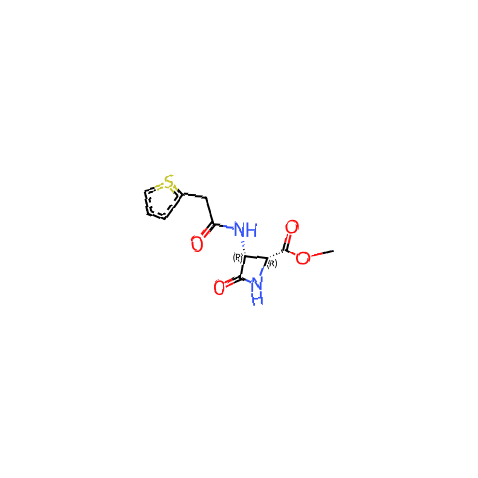 COC(=O)[C@@H]1NC(=O)[C@@H]1NC(=O)Cc1cccs1